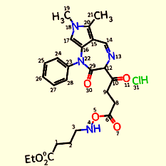 CCOC(=O)CCCNOC(=O)CCC(=O)C1N=Cc2c(cn(C)c2C)N(c2ccccc2)C1=O.Cl